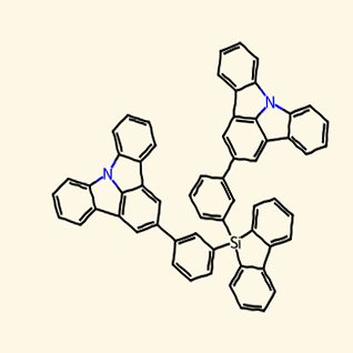 c1cc(-c2cc3c4ccccc4n4c5ccccc5c(c2)c34)cc([Si]2(c3cccc(-c4cc5c6ccccc6n6c7ccccc7c(c4)c56)c3)c3ccccc3-c3ccccc32)c1